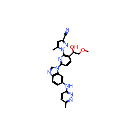 COCC(O)c1ccc(-n2cnc3ccc(Nc4ccc(C)nn4)cc32)nc1-n1nc(C#N)cc1C